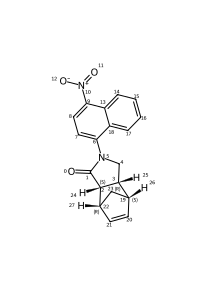 O=C1[C@@H]2[C@H](CN1c1ccc([N+](=O)[O-])c3ccccc13)[C@@H]1C=C[C@H]2C1